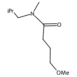 COCCCC(=O)N(C)CC(C)C